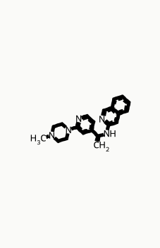 C=C(Nc1cc2ccccc2cn1)c1ccnc(N2CCN(C)CC2)c1